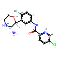 C[C@@]1(c2cc(NC(=O)c3ccc(Cl)cn3)ccc2F)OCCN[C@H]1N